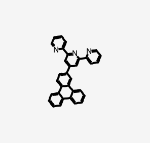 c1ccc(-c2cc(-c3ccc4c5ccccc5c5ccccc5c4c3)cc(-c3ccccn3)n2)nc1